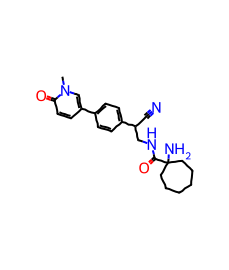 Cn1cc(-c2ccc(C(C#N)CNC(=O)C3(N)CCCCCC3)cc2)ccc1=O